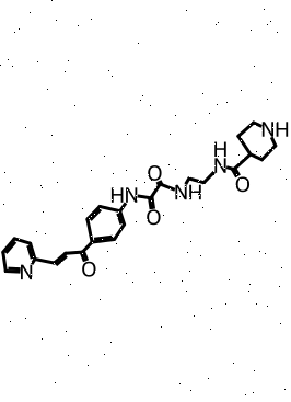 O=C(NCCNC(=O)C1CCNCC1)C(=O)Nc1ccc(C(=O)/C=C/c2ccccn2)cc1